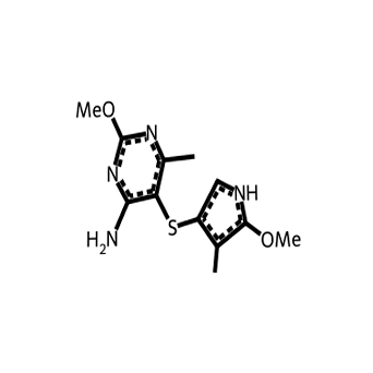 COc1nc(C)c(Sc2c[nH]c(OC)c2C)c(N)n1